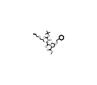 C=CCOCCC[C@H](NC(=O)OC(C)(C)C)C(=O)N1C[C@H](OCc2ccccc2)CC1C(=O)OC